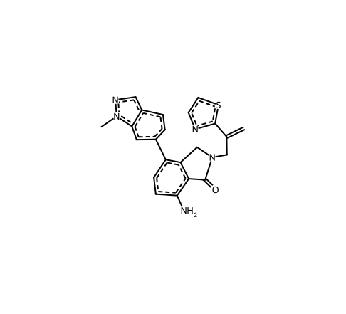 C=C(CN1Cc2c(-c3ccc4cnn(C)c4c3)ccc(N)c2C1=O)c1nccs1